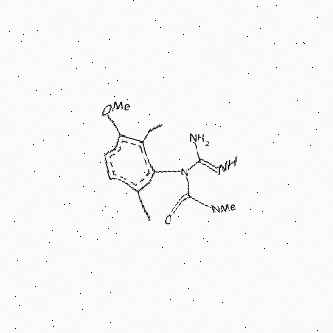 CNC(=O)N(C(=N)N)c1c(C)ccc(OC)c1C